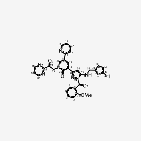 COc1ccccc1C(=O)n1nc(-c2cc(-c3ccccn3)cn(CC(=O)c3ncccn3)c2=O)cc1NCc1ccc(Cl)s1